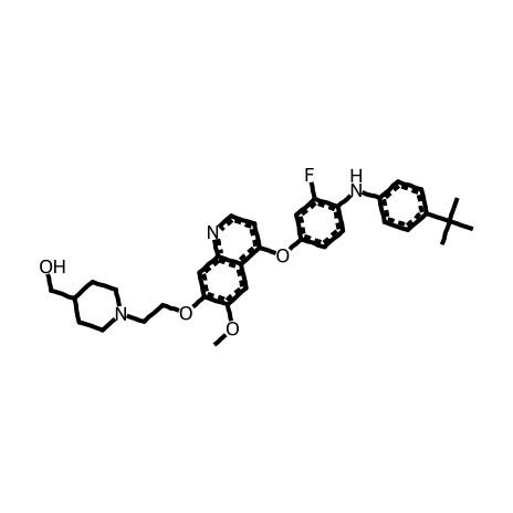 COc1cc2c(Oc3ccc(Nc4ccc(C(C)(C)C)cc4)c(F)c3)ccnc2cc1OCCN1CCC(CO)CC1